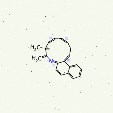 C=C1/N=c2/ccc3ccccc3/c2=C/C/C=C\C=C/[C@H]1C